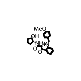 COc1ccc(Cn2nc(C(=O)N[C@H]3CCC[C@@H]3O)c(=O)c3ccccc32)cc1